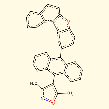 Cc1noc(C)c1-c1c2ccccc2c(-c2ccc3oc4ccc5ccccc5c4c3c2)c2ccccc12